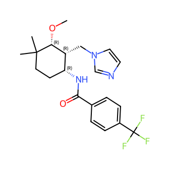 CO[C@@H]1[C@H](Cn2ccnc2)[C@H](NC(=O)c2ccc(C(F)(F)F)cc2)CCC1(C)C